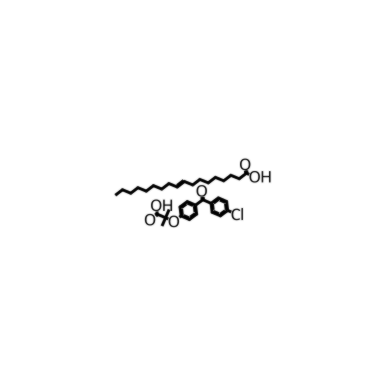 CC(C)(Oc1ccc(C(=O)c2ccc(Cl)cc2)cc1)C(=O)O.CCCCCCCCC=CCCCCCCCC(=O)O